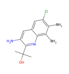 Bc1c(Cl)cc2cc(N)c(C(C)(C)O)nc2c1B